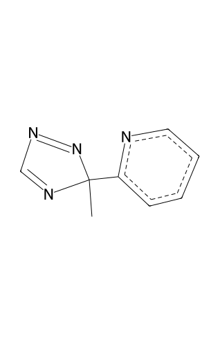 CC1(c2ccccn2)N=CN=N1